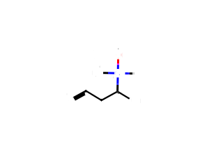 C=CCC(C)[N+](C)(C)O.[Cl-]